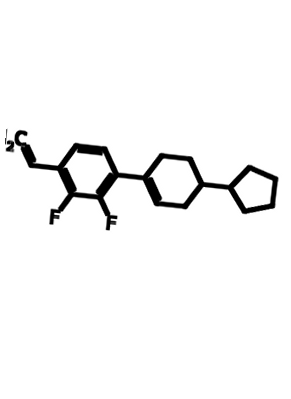 C=Cc1ccc(C2=CCC(C3CCCC3)CC2)c(F)c1F